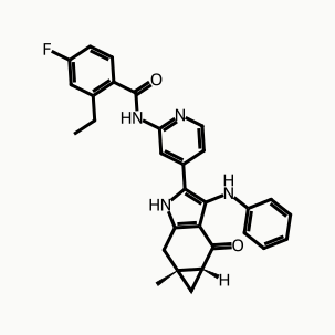 CCc1cc(F)ccc1C(=O)Nc1cc(-c2[nH]c3c(c2Nc2ccccc2)C(=O)[C@@H]2C[C@]2(C)C3)ccn1